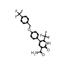 NC(=O)c1cc(-c2ccc(OCc3ccc(C(F)(F)F)cc3)cc2)c(C(F)(F)F)[nH]c1=O